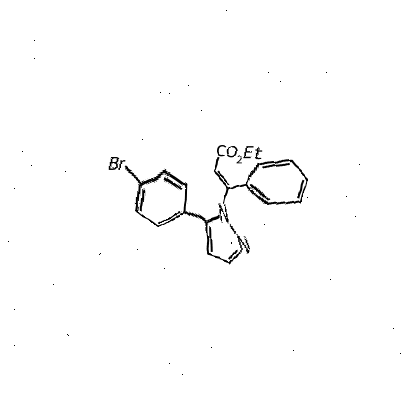 CCOC(=O)C=C(c1ccccc1)n1nccc1-c1ccc(Br)cc1